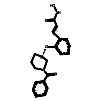 O=C(/C=C/c1ccccc1O[C@H]1CCCN(C(=O)c2ccccc2)C1)NO